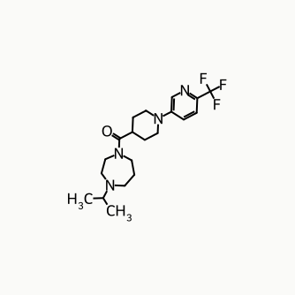 CC(C)N1CCCN(C(=O)C2CCN(c3ccc(C(F)(F)F)nc3)CC2)CC1